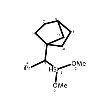 CO[SiH](OC)C(C(C)C)C12CCC(CC1)C2